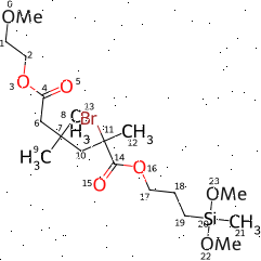 COCCOC(=O)CC(C)(C)CC(C)(Br)C(=O)OCCC[Si](C)(OC)OC